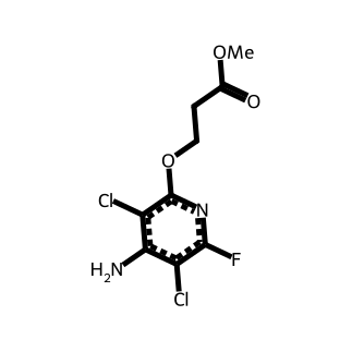 COC(=O)CCOc1nc(F)c(Cl)c(N)c1Cl